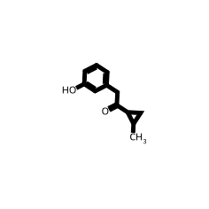 CC1CC1C(=O)Cc1cccc(O)c1